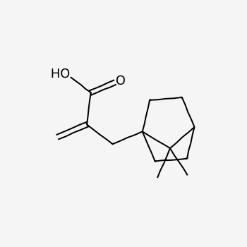 C=C(CC12CCC(CC1)C2(C)C)C(=O)O